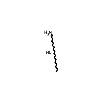 CCCCCCCCCCCCCCCC/C=C/N.Cl